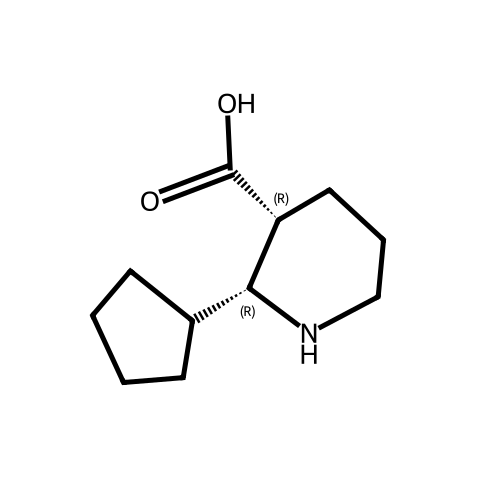 O=C(O)[C@@H]1CCCN[C@@H]1C1CCCC1